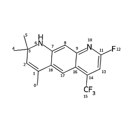 CC1=CC(C)(C)Nc2cc3nc(F)cc(C(F)(F)F)c3cc21